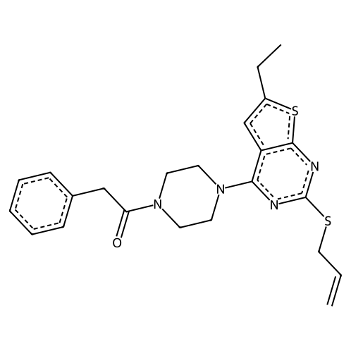 C=CCSc1nc(N2CCN(C(=O)Cc3ccccc3)CC2)c2cc(CC)sc2n1